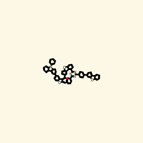 c1ccc(-c2nc(-c3ccc(-c4ccc5c(c4)oc4ccccc45)cc3)nc(-c3cccc4oc5ccc(-c6cccc7oc8ccc(-c9ccc%10c(c9)c9ccccc9n%10-c9ccccc9)cc8c67)cc5c34)n2)cc1